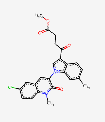 COC(=O)CCC(=O)c1cn(-c2cc3cc(Cl)ccc3n(C)c2=O)c2cc(C)ccc12